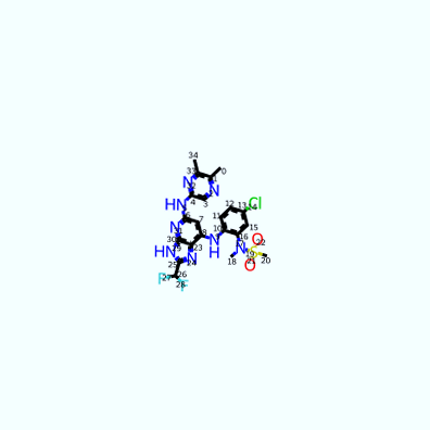 Cc1ncc(Nc2cc(Nc3ccc(Cl)cc3N(C)S(C)(=O)=O)c3nc(C(F)F)[nH]c3n2)nc1C